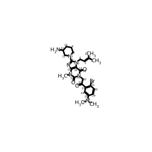 CC(C)=CCn1c(N2CCCC(N)C2)nc2c1c(=O)n(CC(=O)c1cc(N(C)C)ccc1Br)c(=O)n2C